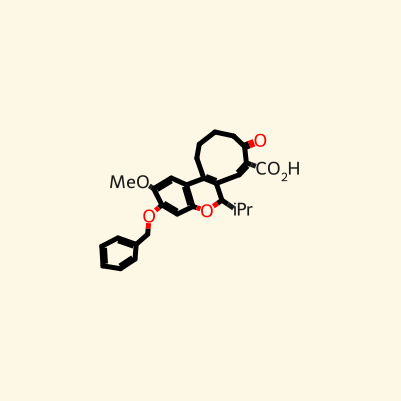 COc1cc2c(cc1OCc1ccccc1)OC(C(C)C)C1=C2CCCCC(=O)/C(C(=O)O)=C\1